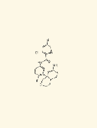 NC1=NC2(c3cc(NC(=O)c4ncc(Cl)cc4Cl)ccc3F)COCCC2CS1